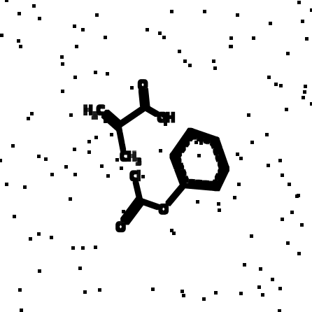 C=C(C)C(=O)O.O=C(Cl)Oc1ccccc1